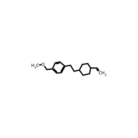 C=CC1CCC(CCc2ccc(COC)cc2)CC1